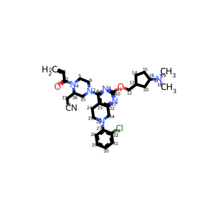 C=CC(=O)N1CCN(c2nc(OCC3CCC(N(C)C)C3)nc3c2CCN(c2ccccc2Cl)C3)CC1CC#N